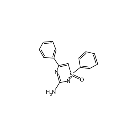 NC1=NC(c2ccccc2)=CS(=O)(c2ccccc2)=N1